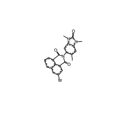 Cc1cc2c(cc1N1C(=O)c3cccc4cc(Br)cc(c34)C1=O)n(C)c(=O)n2C